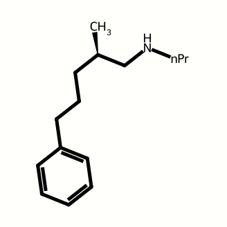 CCCNC[C@H](C)CCCc1ccccc1